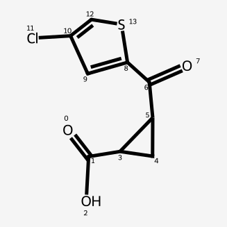 O=C(O)C1CC1C(=O)c1cc(Cl)cs1